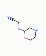 N#CC=NC1CNCCO1